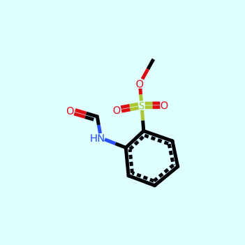 COS(=O)(=O)c1ccccc1NC=O